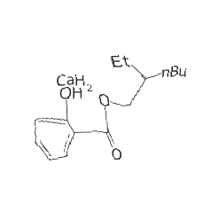 CCCCC(CC)COC(=O)c1ccccc1O.[CaH2]